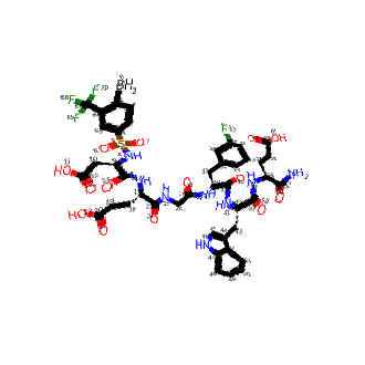 Bc1ccc(S(=O)(=O)N[C@H](CC(=O)O)C(=O)N[C@@H](CCC(=O)O)C(=O)NCC(=O)N[C@@H](Cc2cccc(F)c2)C(=O)N[C@@H](Cc2c[nH]c3ccccc23)C(=O)N[C@@H](CCC(=O)O)C(N)=O)cc1C(F)(F)F